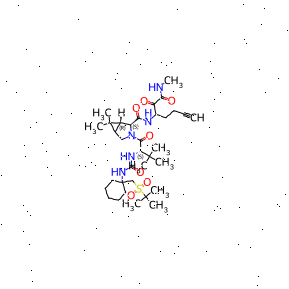 C#CCCC(NC(=O)[C@@H]1[C@@H]2C(CN1C(=O)[C@@H](NC(=O)NC1(CS(=O)(=O)C(C)(C)C)CCCCC1)C(C)(C)C)C2(C)C)C(=O)C(=O)NC